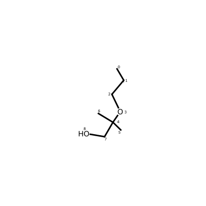 C[CH]COC(C)(C)CO